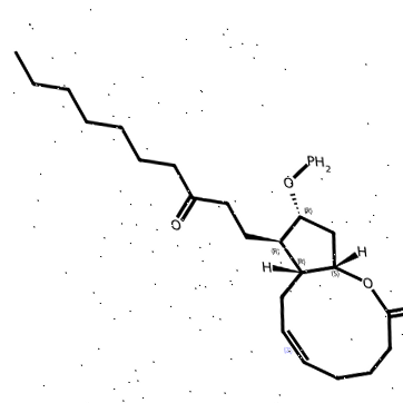 CCCCCCCC(=O)CC[C@@H]1[C@H]2C/C=C\CCCC(=O)O[C@H]2C[C@H]1OP